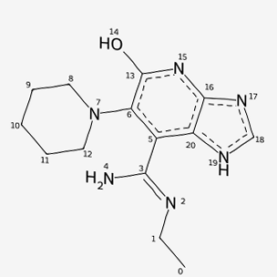 CCN=C(N)c1c(N2CCCCC2)c(O)nc2nc[nH]c12